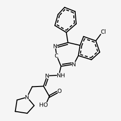 O=C(O)C(CN1CCCC1)=NNC1=Nc2ccc(Cl)cc2C(c2ccccc2)=NC1